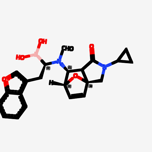 O=CN([C@@H](Cc1coc2ccccc12)B(O)O)[C@H]1C2C(=O)N(C3CC3)C[C@]23C=C[C@H]1O3